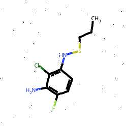 CCCSNc1ccc(F)c(N)c1Cl